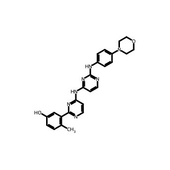 Cc1ccc(O)cc1-c1nccc(Nc2ccnc(Nc3ccc(N4CCOCC4)cc3)n2)n1